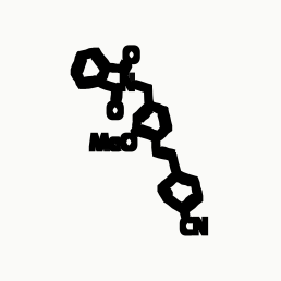 COc1cc(CN2C(=O)c3ccccc3C2=O)ccc1C=Cc1ccc(C#N)cc1